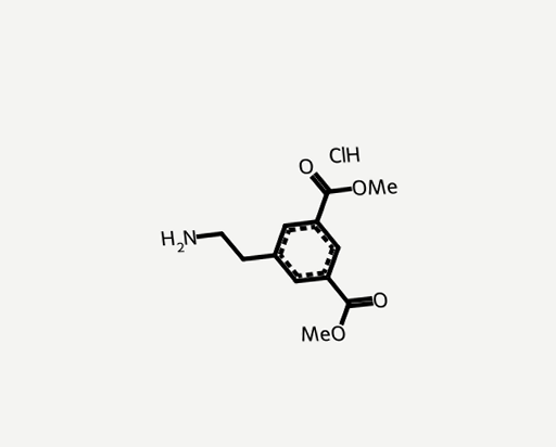 COC(=O)c1cc(CCN)cc(C(=O)OC)c1.Cl